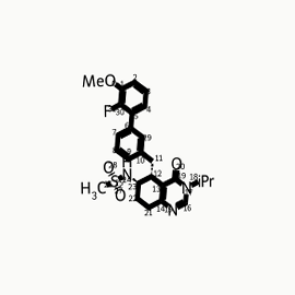 COc1cccc(-c2cccc(C[C@@H]3c4c(ncn(C(C)C)c4=O)CC[C@@H]3NS(C)(=O)=O)c2)c1F